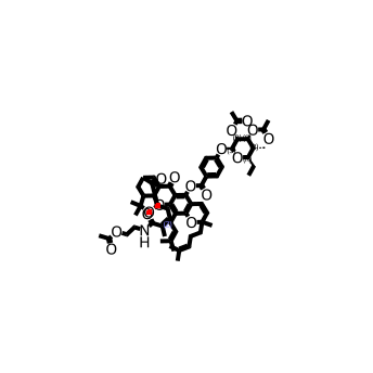 CC[C@H]1O[C@@H](Oc2ccc(C(=O)Oc3c4c(c(CC=C(C)C)c5c3C(=O)C3=CC6CC7C(C)(C)OC(C/C=C(/C)C(=O)NCCOC(C)=O)(C6=O)C37O5)OC(C)(CCC=C(C)C)C=C4)cc2)[C@H](OC(C)=O)[C@@H](OC(C)=O)[C@@H]1C